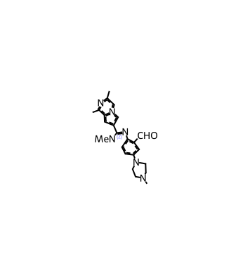 CN/C(=N\c1ccc(N2CCN(C)CC2)cc1C=O)c1cc2c(C)nc(C)cn2c1